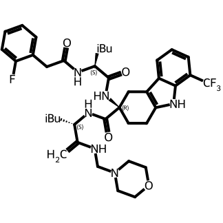 C=C(NCN1CCOCC1)[C@@H](NC(=O)[C@@]1(NC(=O)[C@@H](NC(=O)Cc2ccccc2F)C(C)CC)CCc2[nH]c3c(C(F)(F)F)cccc3c2C1)C(C)CC